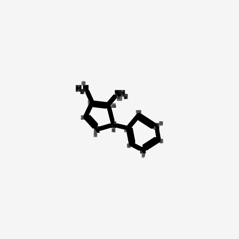 Nc1cnn(-c2cncnc2)c1N